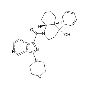 O=C(c1nc(N2CCOCC2)c2cnccn12)N1CC[C@](O)(C2C=CC=CC2)[C@H]2CCCC[C@H]21